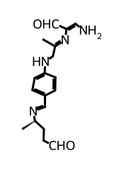 C/C(CNc1ccc(/C=N/[C@H](C)CCC=O)cc1)=N\C(C=O)=C/N